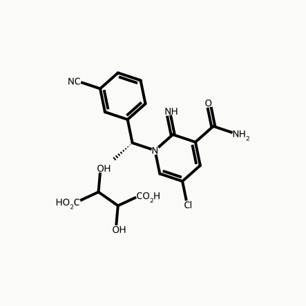 C[C@H](c1cccc(C#N)c1)n1cc(Cl)cc(C(N)=O)c1=N.O=C(O)C(O)C(O)C(=O)O